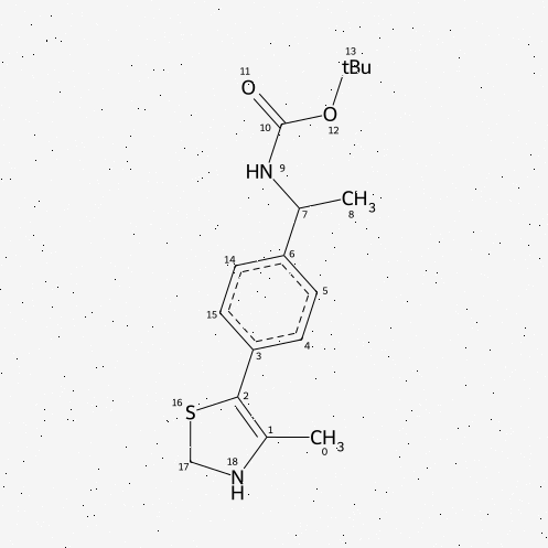 CC1=C(c2ccc(C(C)NC(=O)OC(C)(C)C)cc2)SCN1